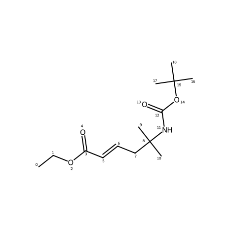 CCOC(=O)C=CCC(C)(C)NC(=O)OC(C)(C)C